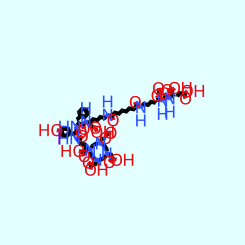 O=COCN1CCN(CC(=O)O)CCN(CC(=O)O)CCN(C(CCC(=O)N[C@H](C(=O)N[C@@H](Cc2ccccc2)C(=O)NC(CCCCNC(=O)CCCCCCC(=O)NCCCC[C@H](NC(=O)N[C@@H](CCC(=O)O)C(=O)O)OC=O)COO)c2ccc(O)c(I)c2)C(=O)O)CC1